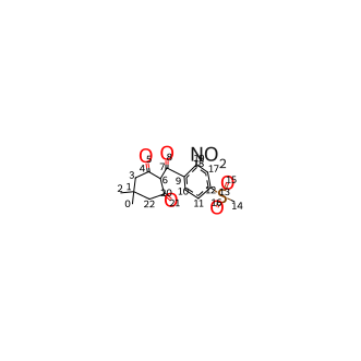 CC1(C)CC(=O)C(C(=O)c2ccc(S(C)(=O)=O)cc2[N+](=O)[O-])C(=O)C1